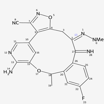 CN/N=C1/Cc2onc(C#N)c2-c2cnc(N)c(c2)OC(C)c2cc(F)ccc2C1=N